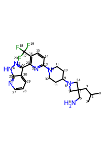 CC(C)CC1(CN)CN(C2CCN(c3ccc(C(F)(F)F)c(-c4n[nH]c5ncccc45)n3)CC2)C1